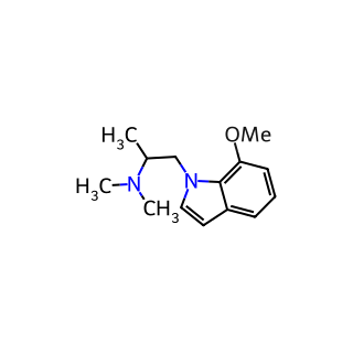 COc1cccc2ccn(CC(C)N(C)C)c12